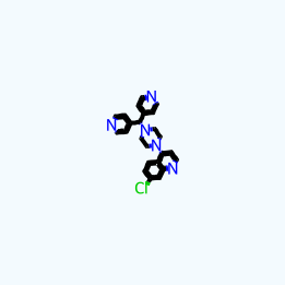 Clc1ccc2c(N3CCN(C(c4ccncc4)c4ccncc4)CC3)ccnc2c1